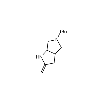 C=C1CC2CN(C(C)(C)C)CC2N1